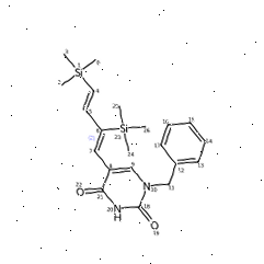 C[Si](C)(C)C=C/C(=C/c1cn(Cc2ccccc2)c(=O)[nH]c1=O)[Si](C)(C)C